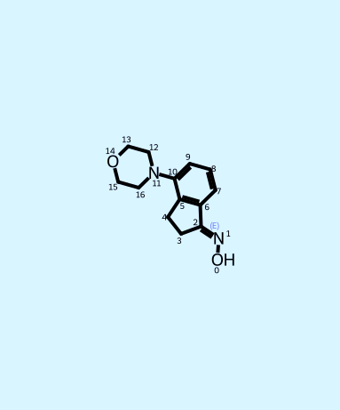 O/N=C1\CCc2c1cccc2N1CCOCC1